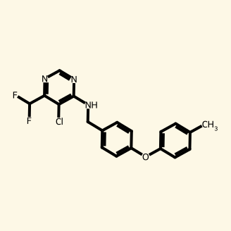 Cc1ccc(Oc2ccc(CNc3ncnc(C(F)F)c3Cl)cc2)cc1